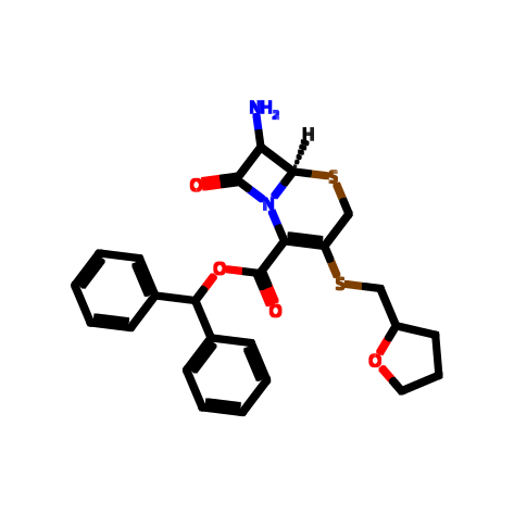 NC1C(=O)N2C(C(=O)OC(c3ccccc3)c3ccccc3)=C(SCC3CCCO3)CS[C@H]12